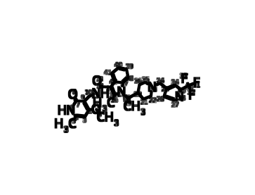 COc1cc(C)[nH]c(=O)c1CNC(=O)c1c(C)n([C@H](C)C2CCN(Cc3ccnc(C(F)(F)F)c3)CC2)c2ccccc12